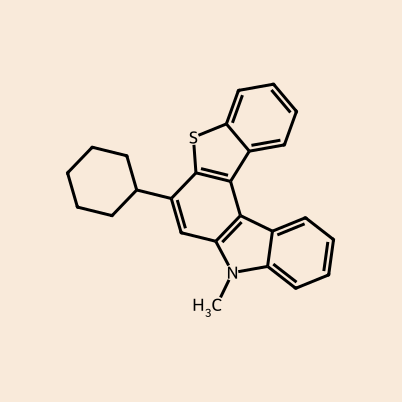 Cn1c2ccccc2c2c3c(sc4ccccc43)c(C3CCCCC3)cc21